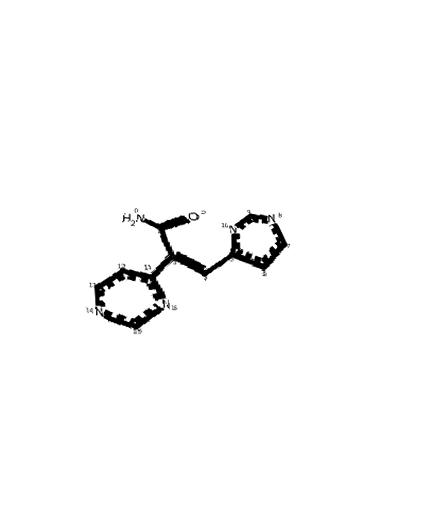 NC(=O)C(=Cc1ccncn1)c1ccncn1